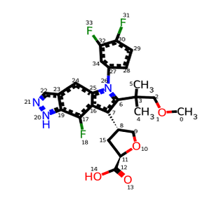 COCC(C)(C)c1c([C@@H]2CO[C@@H](C(=O)O)C2)c2c(F)c3[nH]ncc3cc2n1-c1ccc(F)c(F)c1